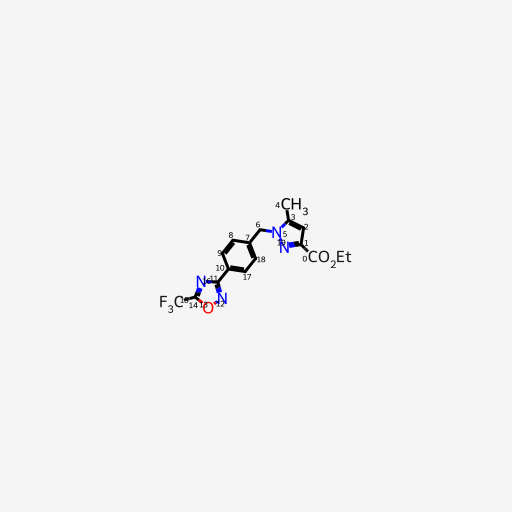 CCOC(=O)c1cc(C)n(Cc2ccc(-c3noc(C(F)(F)F)n3)cc2)n1